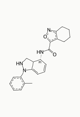 Cc1ccccc1N1NCC2C1=CC=C[C@H]2NC(=O)c1onc2c1CCCC2